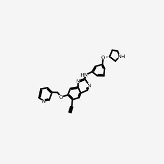 C#Cc1cc2cnc(Nc3cccc(O[C@@H]4CCNC4)c3)nc2cc1OCc1cccnc1